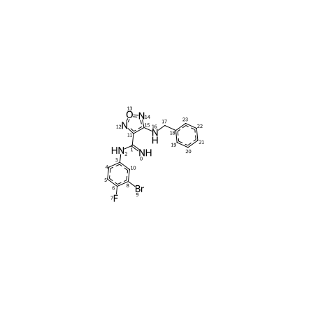 N=C(Nc1ccc(F)c(Br)c1)c1nonc1NCc1ccccc1